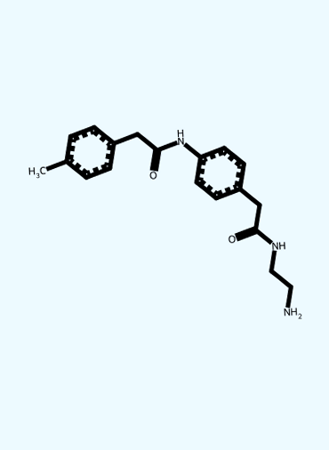 Cc1ccc(CC(=O)Nc2ccc(CC(=O)NCCN)cc2)cc1